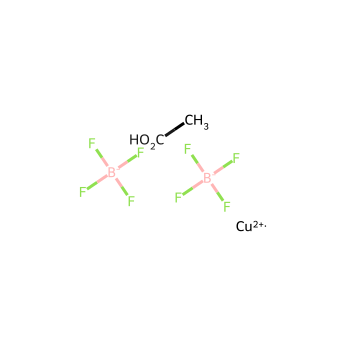 CC(=O)O.F[B-](F)(F)F.F[B-](F)(F)F.[Cu+2]